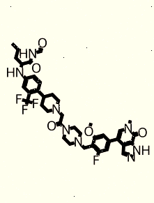 CCCC(Nc1ccc(C2CCN(CC(=O)N3CCN(Cc4c(F)cc(-c5cn(C)c(=O)c6[nH]ncc56)cc4OC)CC3)CC2)c(C(F)(F)F)c1)C(=O)NC=O